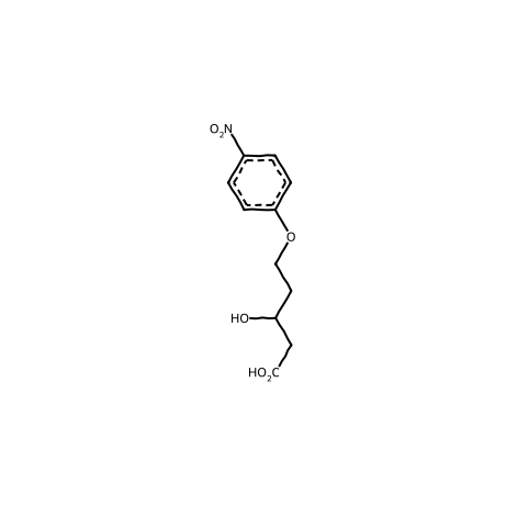 O=C(O)CC(O)CCOc1ccc([N+](=O)[O-])cc1